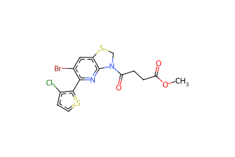 COC(=O)CCC(=O)N1CSc2cc(Br)c(-c3sccc3Cl)nc21